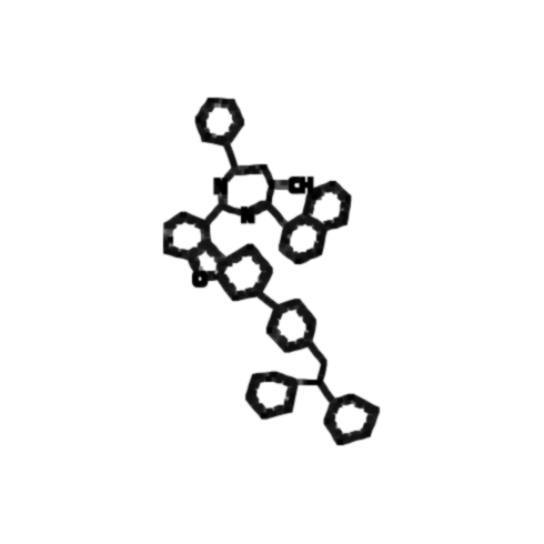 C=C1C=C(c2ccccc2)N=C(c2cccc3oc4cc(-c5ccc(CC(c6ccccc6)c6ccccc6)cc5)ccc4c23)N=C1c1cccc2ccccc12